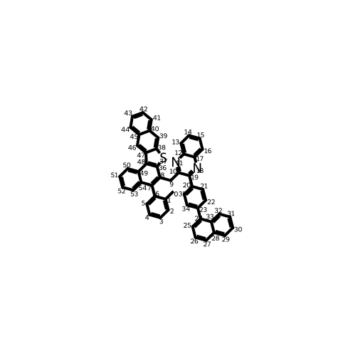 Cc1ccccc1-c1c(Cc2nc3ccccc3nc2-c2ccc(-c3cccc4ccccc34)cc2)c2sc3cc4ccccc4cc3c2c2ccccc12